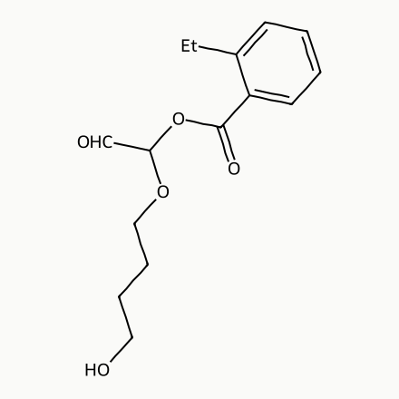 CCc1ccccc1C(=O)OC(C=O)OCCCCO